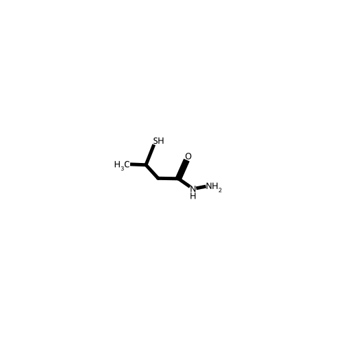 CC(S)CC(=O)NN